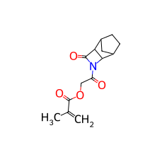 C=C(C)C(=O)OCC(=O)N1C(=O)C2C3CCC(C3)C21